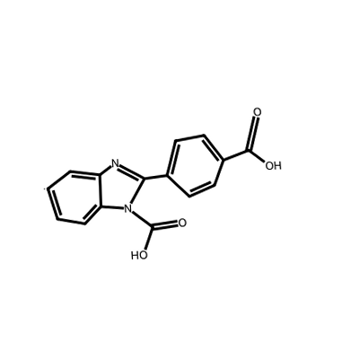 O=C(O)c1ccc(-c2nc3c[c]ccc3n2C(=O)O)cc1